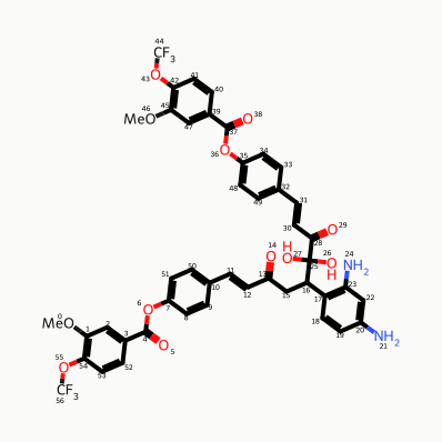 COc1cc(C(=O)Oc2ccc(C=CC(=O)CC(c3ccc(N)cc3N)C(O)(O)C(=O)C=Cc3ccc(OC(=O)c4ccc(OC(F)(F)F)c(OC)c4)cc3)cc2)ccc1OC(F)(F)F